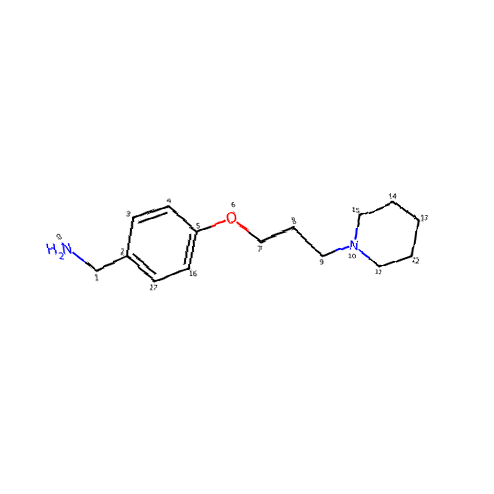 NCc1ccc(OCCCN2CCCCC2)cc1